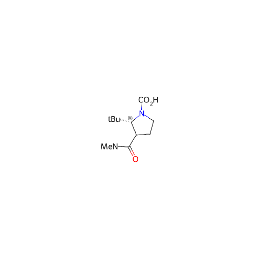 CNC(=O)C1CCN(C(=O)O)[C@H]1C(C)(C)C